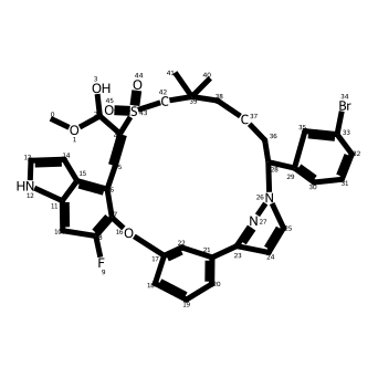 COC(O)/C1=C\c2c(c(F)cc3[nH]ccc23)Oc2cccc(c2)-c2ccn(n2)C(c2cccc(Br)c2)CCCC(C)(C)CS1(=O)=O